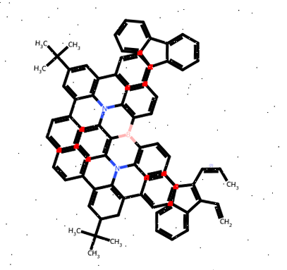 C=CC1=C(/C=C\C)C(c2ccc3c(c2)N(C2=C(c4ccccc4)CC(C(C)(C)C)C=C2c2ccccc2)c2cccc4c2B3c2ccc(C3c5ccccc5-c5ccccc53)cc2N4c2c(-c3ccccc3)cc(C(C)(C)C)cc2-c2ccccc2)c2ccccc21